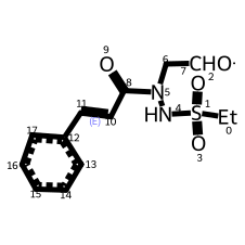 CCS(=O)(=O)NN(C[C]=O)C(=O)/C=C/c1ccccc1